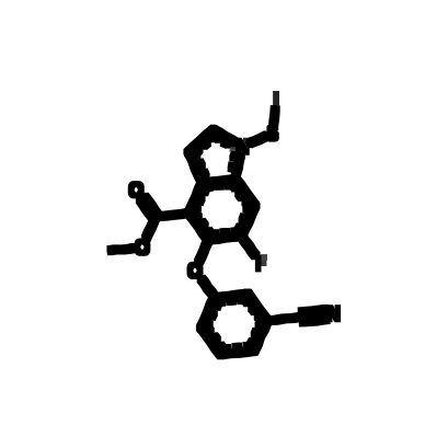 COC(=O)c1c(Oc2cccc(C#N)c2)c(F)cc2c1ccn2SI